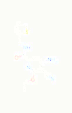 CCOc1nc(C(=O)NCc2cccs2)cc(N)c1C#N